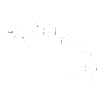 COc1cc(C(=O)N2CCC3(CC2)CCN(c2ccc4c(c2)CN(C2CCC(=O)NC2=O)C4=O)CC3)ccc1[N+](=O)[O-]